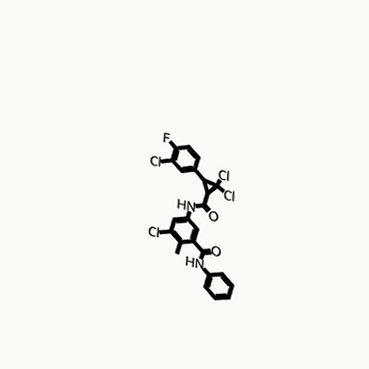 Cc1c(Cl)cc(NC(=O)C2C(c3ccc(F)c(Cl)c3)C2(Cl)Cl)cc1C(=O)Nc1ccccc1